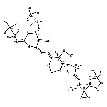 C=C1/C(=C\C=C2/CCC[C@]3(C)[C@@H]([C@H](C)/C=C/[C@@H](O)C4(C5=NC(C)(C)CO5)CC4)CC[C@@H]23)C[C@@H](O[Si](C)(C)C(C)(C)C)C[C@@H]1O[Si](C)(C)C(C)(C)C